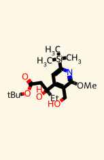 CCC(O)(CC(=O)OC(C)(C)C)c1cc([Si](C)(C)C)nc(OC)c1CO